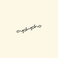 Cc1ccc(/C=C/c2cc3cc4sc(C#Cc5cc6cc7sc(/C=C/c8ccc(C)cc8)cc7cc6s5)cc4cc3s2)cc1